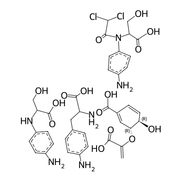 C=C(O[C@@H]1C=C(C(=O)O)C=C[C@H]1O)C(=O)O.Nc1ccc(CC(N)C(=O)O)cc1.Nc1ccc(N(C(=O)C(Cl)Cl)C(CO)C(=O)O)cc1.Nc1ccc(NC(CO)C(=O)O)cc1